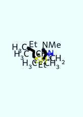 C=N/C(=C\NC)C(C)[SH](C)(C)(CC)CCC(C)(C)CC